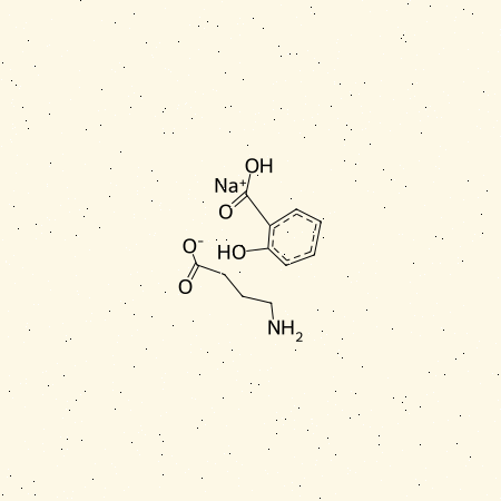 NCCCC(=O)[O-].O=C(O)c1ccccc1O.[Na+]